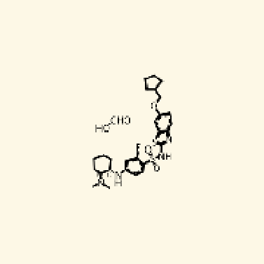 CN(C)[C@H]1CCCC[C@@H]1Nc1ccc(S(=O)(=O)Nc2nc3ccc(OCC4CCCC4)cc3s2)c(F)c1.O=CO